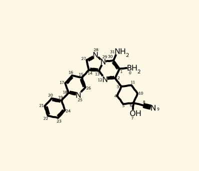 Bc1c(C2CCC(O)(C#N)CC2)nc2c(-c3ccc(-c4ccccc4)nc3)cnn2c1N